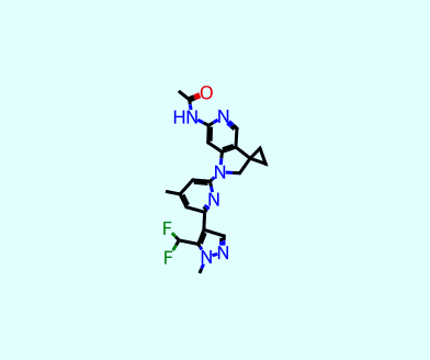 CC(=O)Nc1cc2c(cn1)C1(CC1)CN2c1cc(C)cc(-c2cnn(C)c2C(F)F)n1